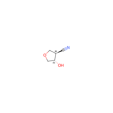 N#C[C@@H]1COC[C@H]1O